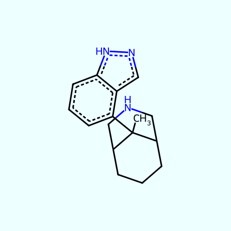 CC1(c2cccc3[nH]ncc23)C2CCCC1CNC2